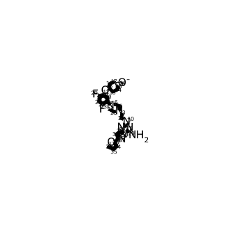 CN(CCN1CCN(c2cc(OC3CC[S+]([O-])CC3)c(F)cc2F)CC1)c1nc(N)n2nc(-c3ccco3)cc2n1